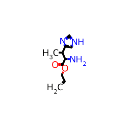 C=CCOC(=O)C(N)C(C)c1c[nH]cn1